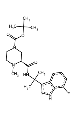 CN1CCN(C(=O)OC(C)(C)C)C[C@H]1C(=O)NC(C)(C)c1n[nH]c2c(F)cccc12